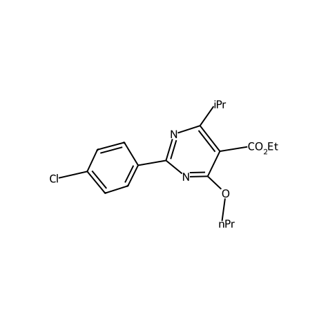 CCCOc1nc(-c2ccc(Cl)cc2)nc(C(C)C)c1C(=O)OCC